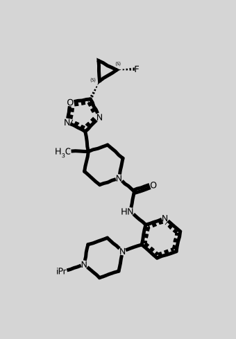 CC(C)N1CCN(c2cccnc2NC(=O)N2CCC(C)(c3noc([C@@H]4C[C@@H]4F)n3)CC2)CC1